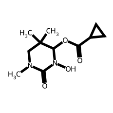 CN1CC(C)(C)C(OC(=O)C2CC2)N(O)C1=O